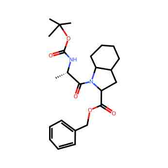 C[C@H](NC(=O)OC(C)(C)C)C(=O)N1C(C(=O)OCc2ccccc2)CC2CCCCC21